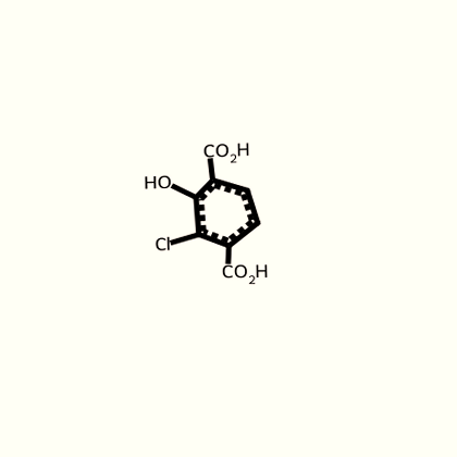 O=C(O)c1ccc(C(=O)O)c(Cl)c1O